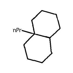 [CH2]CCC12CCCCC1CCCC2